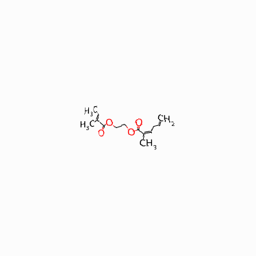 C=CCC=C(C)C(=O)OCCOC(=O)C(C)=CC